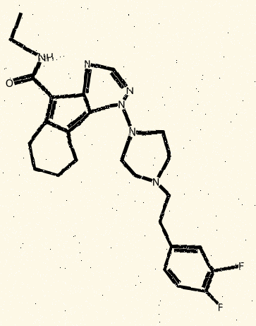 CCNC(=O)c1c2ncnn(N3CCN(CCc4ccc(F)c(F)c4)CC3)c-2c2c1CCCC2